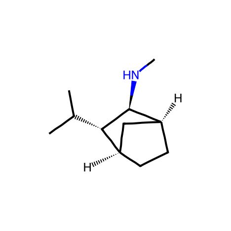 CN[C@H]1[C@H]2CC[C@H](C2)[C@@H]1C(C)C